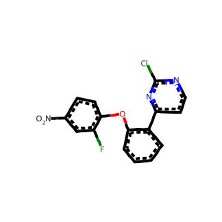 O=[N+]([O-])c1ccc(Oc2ccccc2-c2ccnc(Cl)n2)c(F)c1